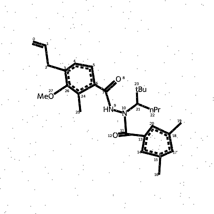 C=CCc1ccc(C(=O)NN(C(=O)c2cc(C)cc(C)c2)C(CCC)C(C)(C)C)c(C)c1OC